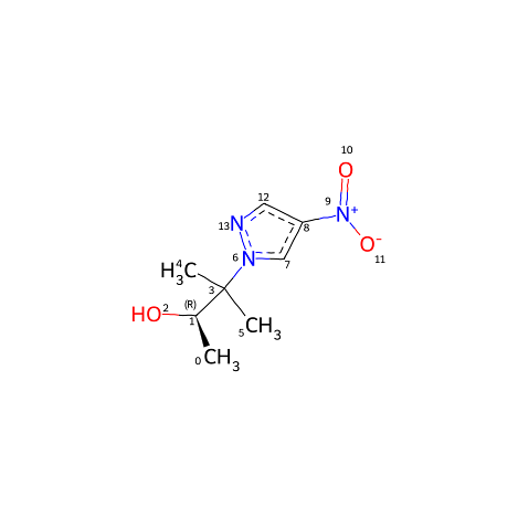 C[C@@H](O)C(C)(C)n1cc([N+](=O)[O-])cn1